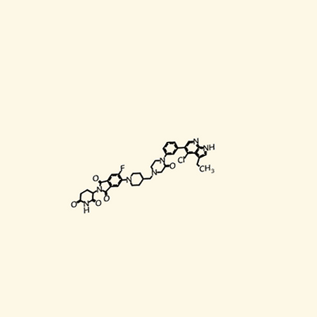 CCc1c[nH]c2ncc(-c3cccc(N4CCN(CC5CCN(c6cc7c(cc6F)C(=O)N(C6CCC(=O)NC6=O)C7=O)CC5)CC4=O)c3)c(Cl)c12